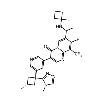 CC(NC1(C)CCC1)c1cn2c(=O)c(-c3cncc([C@]4(c5nncn5C)C[C@@H](C)C4)c3)cnc2c(C(F)(F)F)c1F